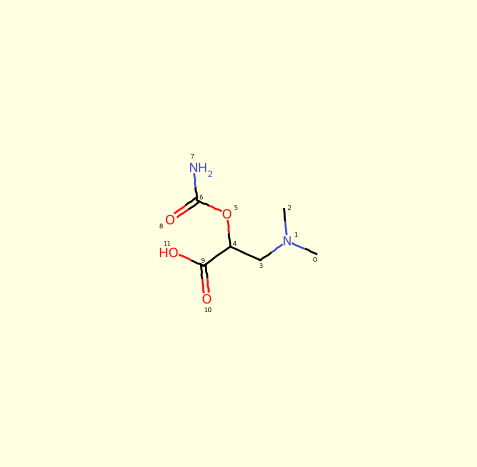 CN(C)CC(OC(N)=O)C(=O)O